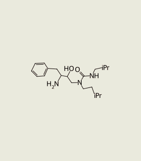 CC(C)CCN(CC(O)C(N)Cc1ccccc1)C(=O)NCC(C)C